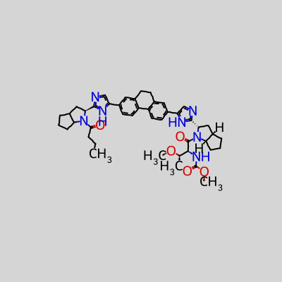 CCCC(=O)N1C2CCCC2C[C@H]1c1ncc(-c2ccc3c(c2)CCc2cc(-c4cnc([C@@H]5C[C@@H]6CCC[C@@H]6N5C(=O)[C@@H](NC(=O)OC)[C@@H](C)OC)[nH]4)ccc2-3)[nH]1